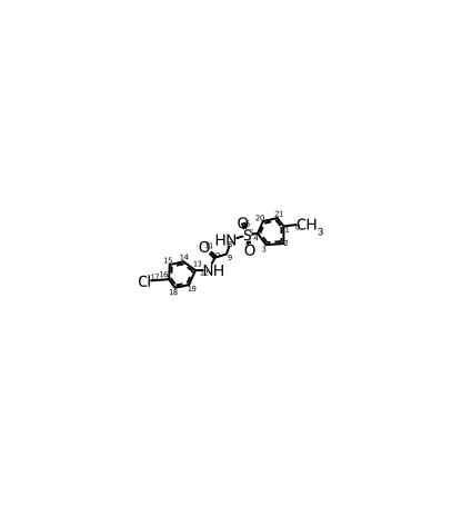 Cc1ccc(S(=O)(=O)NCC(=O)Nc2ccc(Cl)cc2)cc1